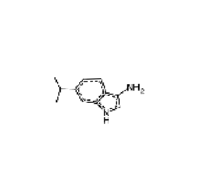 CC(C)c1ccc2c(N)c[nH]c2c1